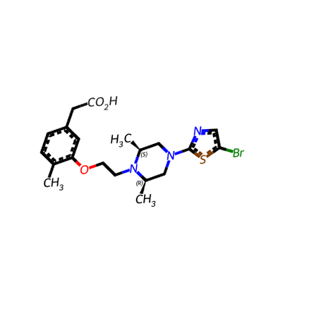 Cc1ccc(CC(=O)O)cc1OCCN1[C@H](C)CN(c2ncc(Br)s2)C[C@@H]1C